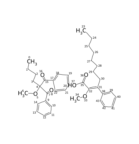 CCCCC(OC)(C(=O)c1ccccc1)C(=O)c1ccccc1.CCCCCCCCC(=C(OC)C(=O)O)c1ccccc1